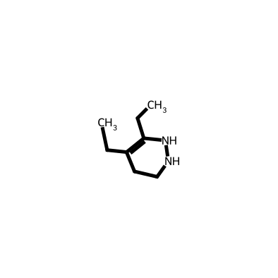 CCC1=C(CC)NNCC1